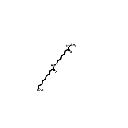 CCCCCCCCCCCCCCCCCC(=O)NSCCCCCC(=O)NN